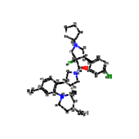 CC[C@H]1CN(C(=O)[C@]2(F)CN(C3CCCC3)C[C@H]2c2ccc(Cl)cc2)C[C@@H]1c1ccc(C(F)(F)F)cc1N1CCC(C(=O)O)CC1